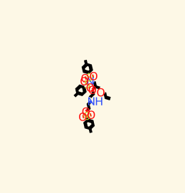 C=CCOCC(CN(S(=O)(=O)c1ccc(C)cc1)S(=O)(=O)c1ccc(C)cc1)OCCNCCOS(=O)(=O)c1ccc(C)cc1